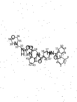 Cc1ccccc1-c1ccccc1C(=O)Nc1ccc(C(=O)N2CCC(=O)N(CC(=O)NCCN3CCOCC3)c3ccccc32)cc1